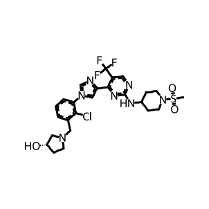 CS(=O)(=O)N1CCC(Nc2ncc(C(F)(F)F)c(-c3cn(-c4cccc(CN5CC[C@H](O)C5)c4Cl)cn3)n2)CC1